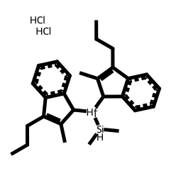 CCCC1=C(C)[CH]([Hf]([CH]2C(C)=C(CCC)c3ccccc32)[SiH](C)C)c2ccccc21.Cl.Cl